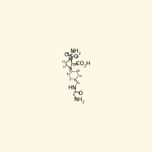 NCC(=O)NC[C@H]1CC[C@@H](c2ccn(S(N)(=O)=O)c2C(=O)O)CC1